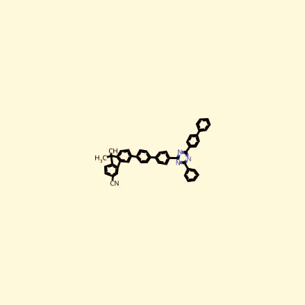 CC1(C)c2ccc(C#N)cc2-c2cc(-c3ccc(-c4ccc(-c5nc(-c6ccccc6)nc(-c6ccc(-c7ccccc7)cc6)n5)cc4)cc3)ccc21